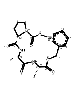 C[C@H](NC(=O)[C@@H]1CCCN1C(=O)OC(C)(C)C)C(=O)N[C@@H](C)C(=O)OCc1ccccc1